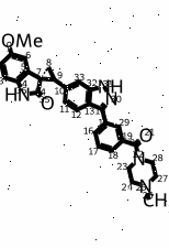 COc1ccc2c(c1)[C@]1(CC1c1ccc3c(-c4cccc(C(=O)N5CCN(C)CC5)c4)n[nH]c3c1)C(=O)N2